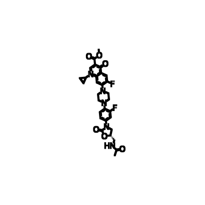 COC(=O)c1cn(C2CC2)c2cc(N3CCN(c4ccc(N5C[C@H](CNC(C)=O)OC5=O)cc4F)CC3)c(F)cc2c1=O